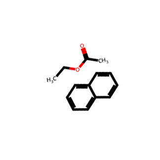 CCOC(C)=O.c1ccc2ccccc2c1